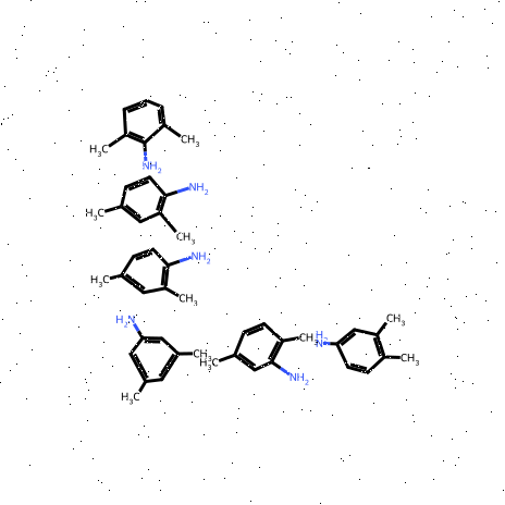 Cc1cc(C)cc(N)c1.Cc1ccc(C)c(N)c1.Cc1ccc(N)c(C)c1.Cc1ccc(N)c(C)c1.Cc1ccc(N)cc1C.Cc1cccc(C)c1N